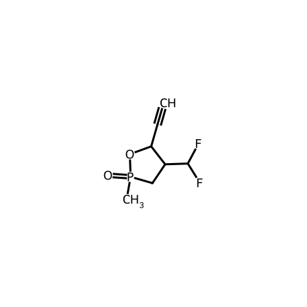 C#CC1OP(C)(=O)CC1C(F)F